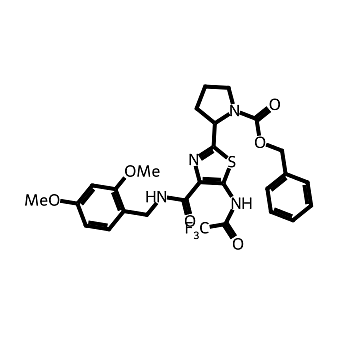 COc1ccc(CNC(=O)c2nc(C3CCCN3C(=O)OCc3ccccc3)sc2NC(=O)C(F)(F)F)c(OC)c1